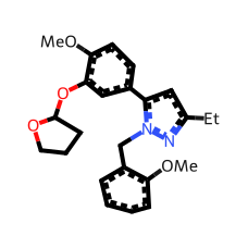 CCc1cc(-c2ccc(OC)c(OC3CCCO3)c2)n(Cc2ccccc2OC)n1